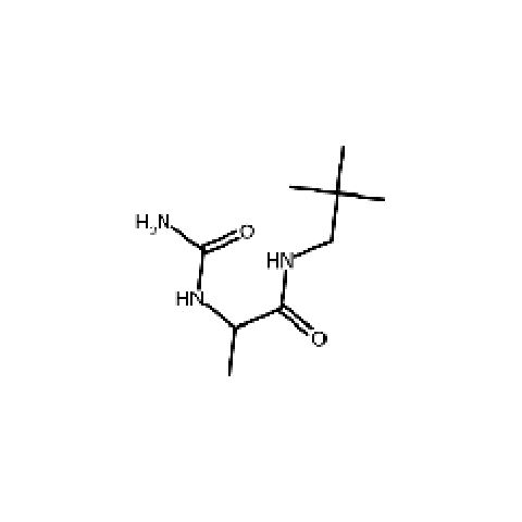 CC(NC(N)=O)C(=O)NCC(C)(C)C